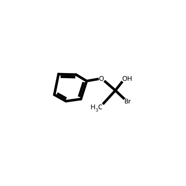 CC(O)(Br)Oc1ccccc1